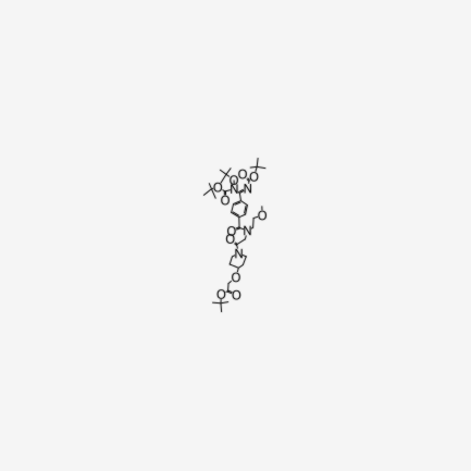 COCCN(CC(=O)N1CCC(OCC(=O)OC(C)(C)C)CC1)C(=O)c1ccc(C(=NC(=O)OC(C)(C)C)N(OC(C)(C)C)C(=O)OC(C)(C)C)cc1